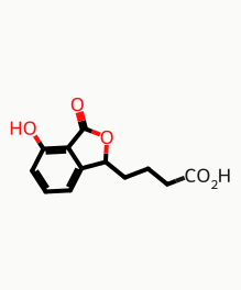 O=C(O)CCCC1OC(=O)c2c(O)cccc21